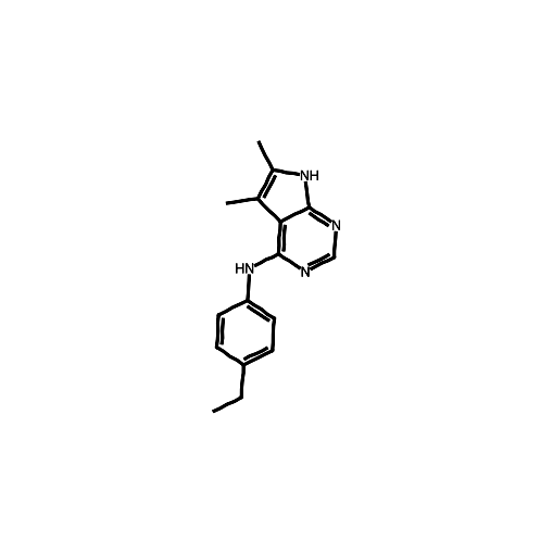 CCc1ccc(Nc2ncnc3[nH]c(C)c(C)c23)cc1